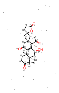 CC1([C@H]2CC(=O)[C@@]3(C)C4=C(C(=O)C[C@]23C)[C@@]2(C)CCC(=O)C(C)(C)[C@@H]2C[C@@H]4O)CCC(=O)O1